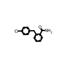 NC(=O)c1ccccc1Cc1ccc(Cl)cc1